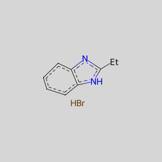 Br.CCc1nc2ccccc2[nH]1